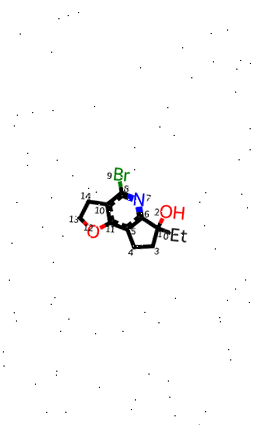 CCC1(O)CCc2c1nc(Br)c1c2OCC1